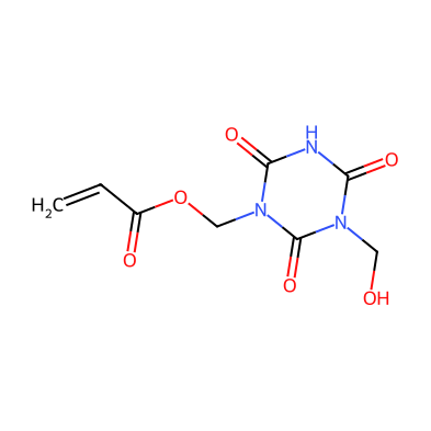 C=CC(=O)OCn1c(=O)[nH]c(=O)n(CO)c1=O